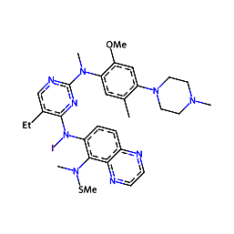 CCc1cnc(N(C)c2cc(C)c(N3CCN(C)CC3)cc2OC)nc1N(I)c1ccc2nccnc2c1N(C)SC